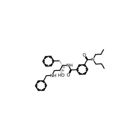 CCCN(CCC)C(=O)c1cccc(C(=O)N[C@@H](Cc2ccccc2)[C@H](O)CNCc2ccccc2)c1